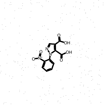 O=C(O)c1cnn(-c2ccccc2[N+](=O)[O-])c1C(=O)O